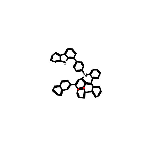 c1cc(-c2ccc3ccccc3c2)cc(N(c2ccc(-c3cccc4c3sc3ccccc34)cc2)c2ccccc2-c2cc3ccccc3c3ccccc23)c1